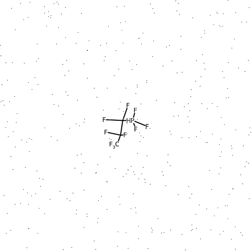 FC(F)(F)C(F)(F)C(F)(F)[PH](F)(F)F